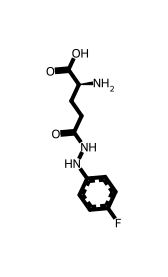 N[C@@H](CCC(=O)NNc1ccc(F)cc1)C(=O)O